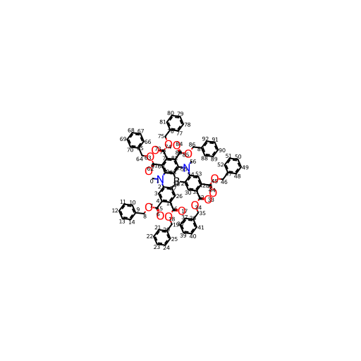 CN1c2cc(C(=O)OCc3ccccc3)c(C(=O)OCc3ccccc3)cc2B2c3cc(C(=O)OCc4ccccc4)c(C(=O)OCc4ccccc4)cc3N(C)c3c2c1c(C(=O)OCc1ccccc1)c(C(=O)OCc1ccccc1)c3C(=O)OCc1ccccc1